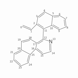 C=Cc1ccc2ccccc2c1-c1nccc2c1ccc1ccccc12